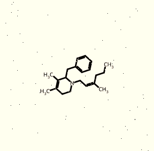 CCCC(C)=CCN1CCC(C)=C(C)C1Cc1ccccc1